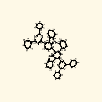 c1ccc(-c2nc(-c3ccccc3)nc(-c3cc4c(c5sc6ccccc6c35)-c3ccc(-c5nc(-c6ccccc6)nc(-c6ccccc6)n5)c5c6ccccc6n(c35)-c3ccccc3-4)n2)cc1